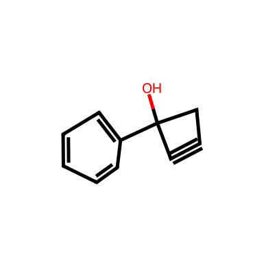 OC1(c2ccccc2)C#CC1